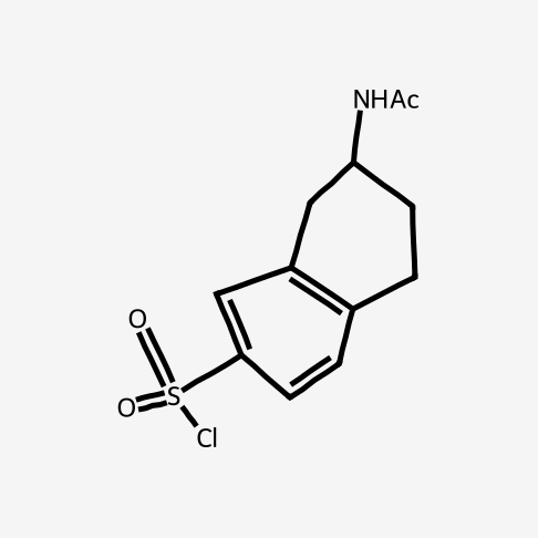 CC(=O)NC1CCc2ccc(S(=O)(=O)Cl)cc2C1